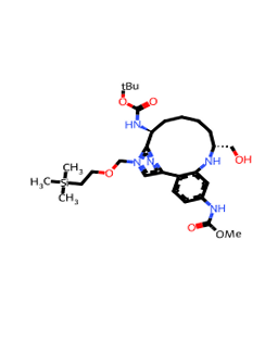 COC(=O)Nc1ccc2c(c1)N[C@@H](CO)CCCC[C@H](NC(=O)OC(C)(C)C)c1nc-2cn1COCC[Si](C)(C)C